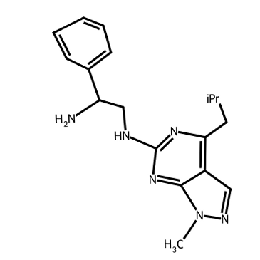 CC(C)Cc1nc(NCC(N)c2ccccc2)nc2c1cnn2C